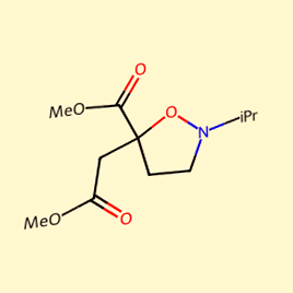 COC(=O)CC1(C(=O)OC)CCN(C(C)C)O1